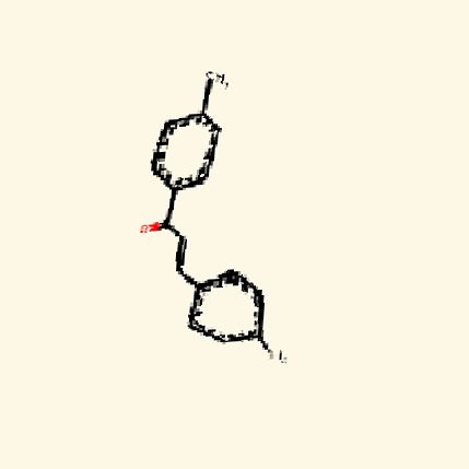 Bc1ccc(/C=C/C(=O)c2ccc(C)cc2)cc1